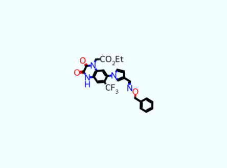 CCOC(=O)Cn1c(=O)c(=O)[nH]c2cc(C(F)(F)F)c(-n3ccc(C=NOCc4ccccc4)c3)cc21